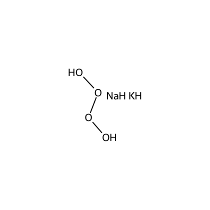 OOOO.[KH].[NaH]